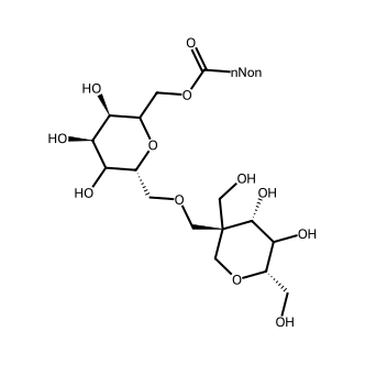 CCCCCCCCCC(=O)OCC1O[C@H](COC[C@]2(CO)CO[C@@H](CO)C(O)[C@H]2O)C(O)[C@@H](O)[C@H]1O